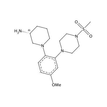 COc1[c]cc(N2CCC[C@@H](N)C2)c(N2CCN(S(C)(=O)=O)CC2)c1